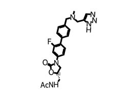 CC(=O)NC[C@H]1CN(c2ccc(-c3ccc(CN(C)Cc4cnn[nH]4)cc3)c(F)c2)C(=O)O1